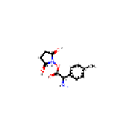 Cc1ccc(C(N)C(=O)ON2C(=O)CCC2=O)cc1